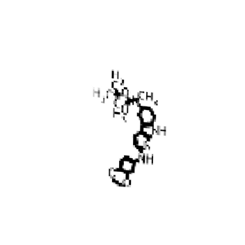 CN(C(=O)OC(C)(C)C)C1CCc2[nH]c3nc(NC4=CC=C5OCCOC5C4)ccc3c2C1